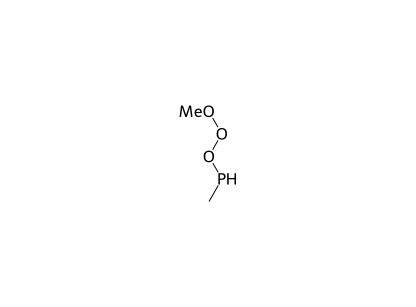 COOOPC